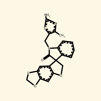 Cc1nc(N)sc1CN1C(=O)C2(COc3cc4c(cc32)OCO4)c2ccccc21